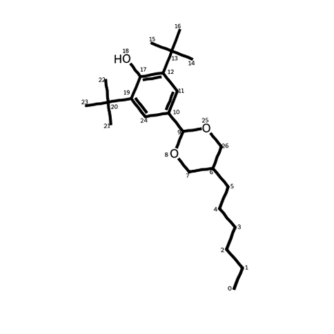 CCCCCCC1COC(c2cc(C(C)(C)C)c(O)c(C(C)(C)C)c2)OC1